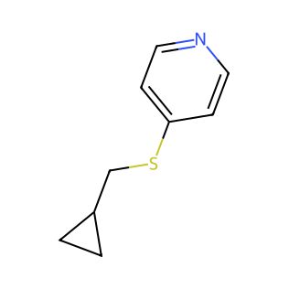 c1cc(SCC2CC2)ccn1